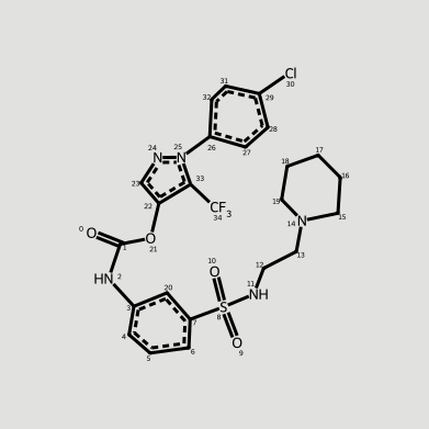 O=C(Nc1cccc(S(=O)(=O)NCCN2CCCCC2)c1)Oc1cnn(-c2ccc(Cl)cc2)c1C(F)(F)F